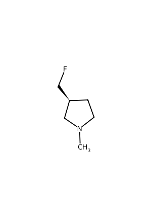 CN1CC[C@H](CF)C1